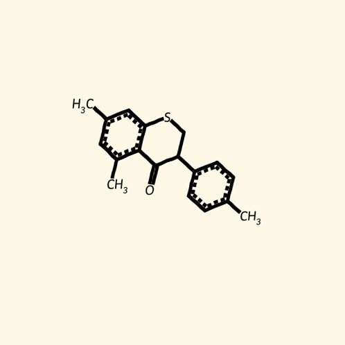 Cc1ccc(C2CSc3cc(C)cc(C)c3C2=O)cc1